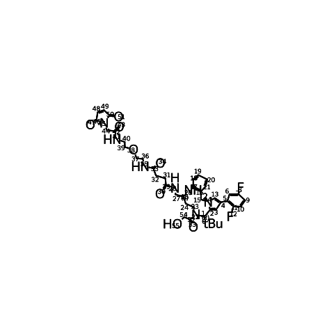 CC(C)(C)[C@H](c1cc(-c2cc(F)ccc2F)cn1Cc1ccccc1)N(CC[C@H](N)CNC(=O)CCC(=O)NCCOCCNC(=O)CN1C(=O)C=CC1=O)C(=O)CO